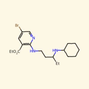 CCOC(=O)c1cc(Br)cnc1NCCC(CC)NC1CCCCC1